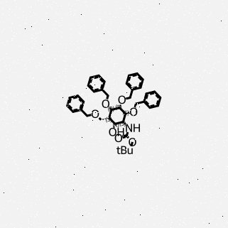 CC(C)(C)OC(=O)N[C@H]1[C@H](O)[C@H](COCc2ccccc2)[C@@H](OCc2ccccc2)[C@H](OCc2ccccc2)[C@H]1OCc1ccccc1